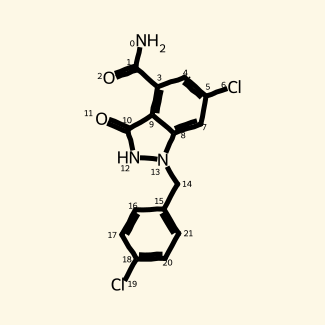 NC(=O)c1[c]c(Cl)cc2c1c(=O)[nH]n2Cc1ccc(Cl)cc1